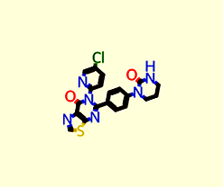 O=C1NCCCN1c1ccc(-c2nc3scnc3c(=O)n2-c2ccc(Cl)cn2)cc1